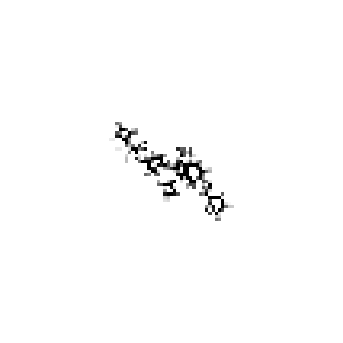 Nc1c(-c2ccc(NC(=O)NC3CCC3)cc2)n(C2CCC2)c2cc(OCC3CCCO3)ccc12